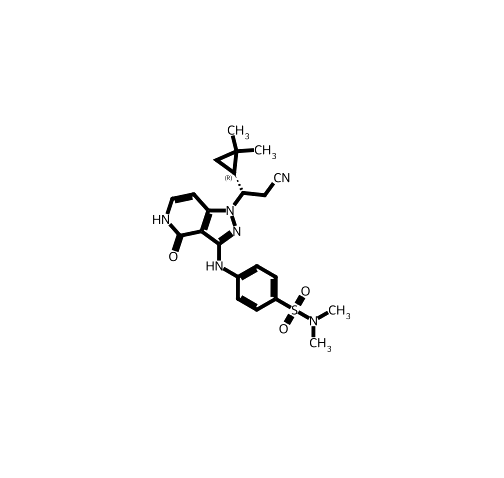 CN(C)S(=O)(=O)c1ccc(Nc2nn(C(CC#N)[C@@H]3CC3(C)C)c3cc[nH]c(=O)c23)cc1